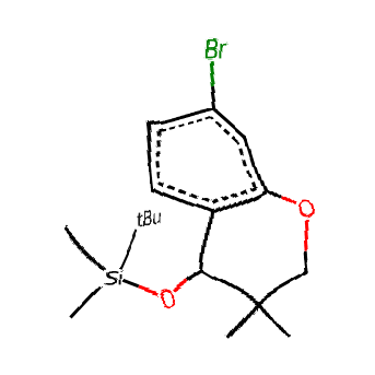 CC1(C)COc2cc(Br)ccc2C1O[Si](C)(C)C(C)(C)C